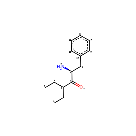 CCC(CC)C(=O)[C@@H](N)Cc1ccccc1